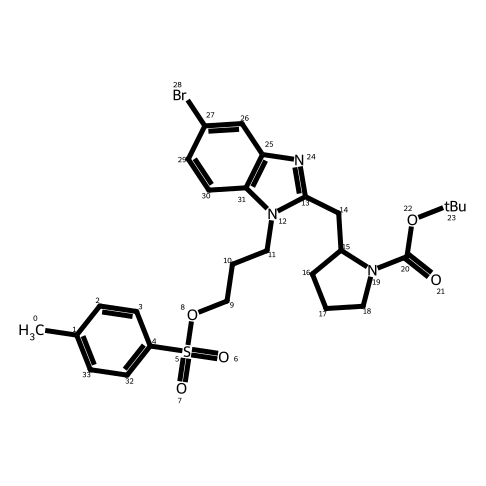 Cc1ccc(S(=O)(=O)OCCCn2c(CC3CCCN3C(=O)OC(C)(C)C)nc3cc(Br)ccc32)cc1